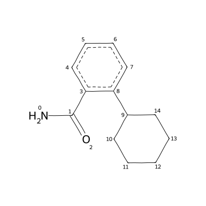 NC(=O)c1ccccc1C1CCCCC1